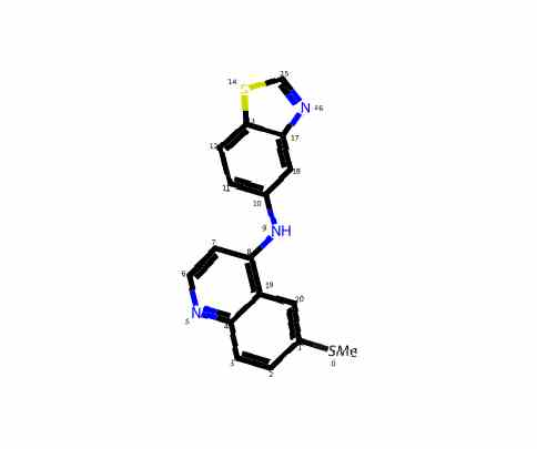 CSc1ccc2nccc(Nc3ccc4scnc4c3)c2c1